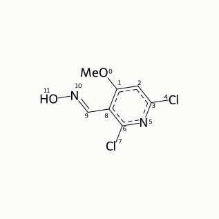 COc1cc(Cl)nc(Cl)c1C=NO